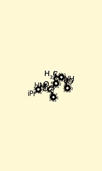 CC(C)c1ccc(NC(=O)OC(CSc2ccccc2)CSc2cccc(CC(C)c3ccc(NC(=O)Sc4ccccc4)cc3)c2)cc1